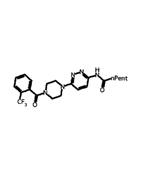 CCCCCC(=O)Nc1ccc(N2CCN(C(=O)c3ccccc3C(F)(F)F)CC2)nn1